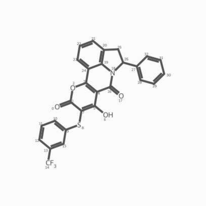 O=c1oc2c(c(O)c1Sc1cccc(C(F)(F)F)c1)c(=O)n1c3c(cccc23)CC1c1ccccc1